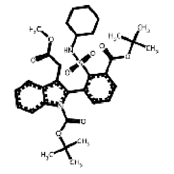 COC(=O)Cc1c(-c2cccc(C(=O)OC(C)(C)C)c2S(=O)(=O)NC2CCCCC2)n(C(=O)OC(C)(C)C)c2ccccc12